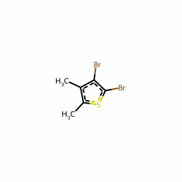 Cc1sc(Br)c(Br)c1C